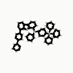 c1ccc(-c2ccc(-c3cccc4c3sc3c(N(c5ccccc5)c5ccc(S(c6ccccc6)(c6ccccc6)c6ccccc6)cc5)cccc34)cc2)cc1